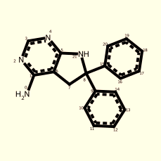 Nc1ncnc2c1CC(c1ccccc1)(c1ccccc1)N2